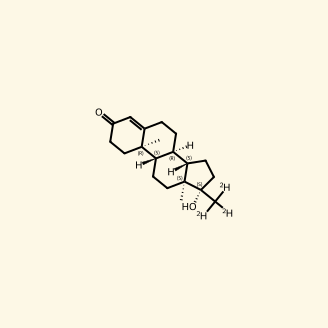 [2H]C([2H])([2H])[C@]1(O)CC[C@H]2[C@@H]3CCC4=CC(=O)CC[C@]4(C)[C@H]3CC[C@@]21C